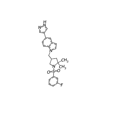 CC1(C)CC(Cn2ccc3cc(-c4cn[nH]c4)ccc32)CN1S(=O)(=O)c1cccc(F)c1